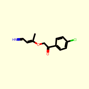 C/C(=C\C=N)OCC(=O)c1ccc(Cl)cc1